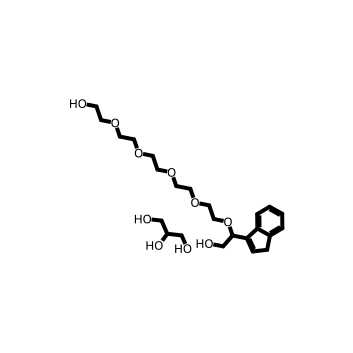 OCC(O)CO.OCCOCCOCCOCCOCCOC(CO)C1=CCc2ccccc21